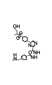 CNCc1ccc(C(=N)OC(=N)c2cncc(-c3ccc(S(=O)(=O)C(C)CCO)cc3)n2)cc1